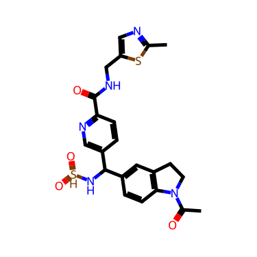 CC(=O)N1CCc2cc(C(N[SH](=O)=O)c3ccc(C(=O)NCc4cnc(C)s4)nc3)ccc21